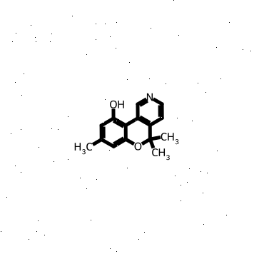 Cc1cc(O)c2c(c1)OC(C)(C)c1ccncc1-2